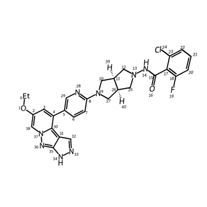 CCOc1cc(-c2ccc(N3C[C@H]4CN(NC(=O)c5c(F)cccc5Cl)C[C@H]4C3)nc2)c2c3cn[nH]c3nn2c1